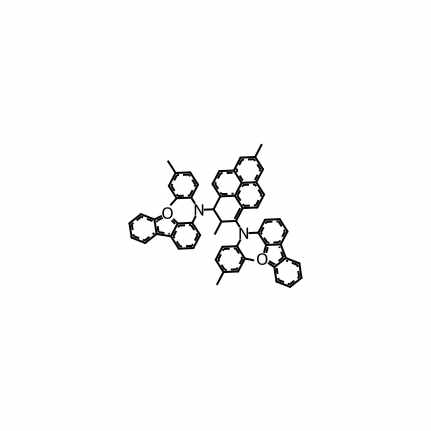 Cc1ccc(N(C2=c3ccc4cc(C)cc5ccc(c3c54)C(N(c3ccc(C)cc3C)c3cccc4c3oc3ccccc34)C2C)c2cccc3c2oc2ccccc23)c(C)c1